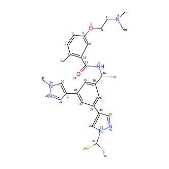 Cc1ccc(OCCN(C)C)cc1C(=O)N[C@H](C)c1cc(-c2cnn(C)c2)cc(-c2cnn(C(F)F)c2)c1